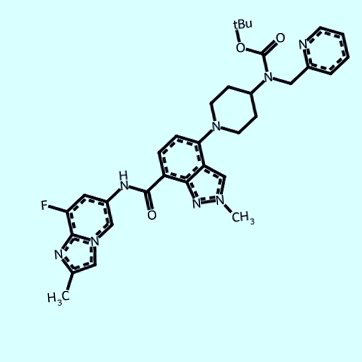 Cc1cn2cc(NC(=O)c3ccc(N4CCC(N(Cc5ccccn5)C(=O)OC(C)(C)C)CC4)c4cn(C)nc34)cc(F)c2n1